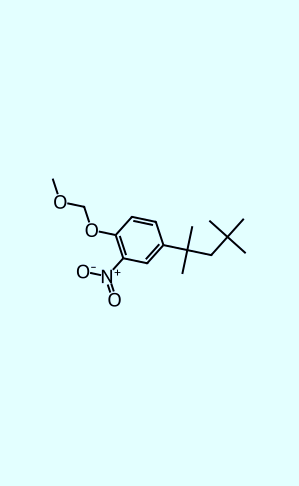 COCOc1ccc(C(C)(C)CC(C)(C)C)cc1[N+](=O)[O-]